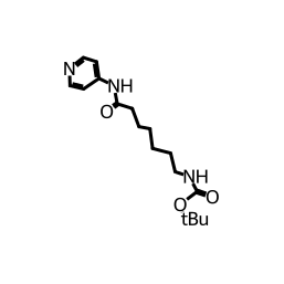 CC(C)(C)OC(=O)NCCCCCCC(=O)Nc1ccncc1